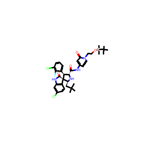 CC(C)(C)C[C@@H]1N[C@@H](C(=O)Nc2ccn(CCO[Si](C)(C)C(C)(C)C)c(=O)c2)[C@H](c2cccc(Cl)c2F)[C@]12C(=O)Nc1cc(Cl)ccc12